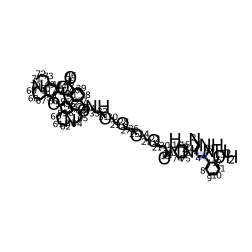 NC(N)=C(/C=C(\N)c1ccccc1O)N1CCN(C(=O)CCOCCOCCOCCOCCNC(=O)c2ccc3c(c2)C2(OC3=O)c3cc4c5c(c3Oc3c2cc2c6c3CCCN6CCC2)CCCN5CCC4)CC1